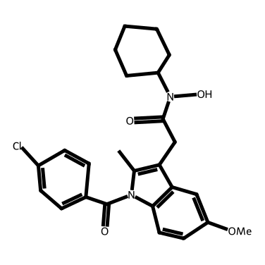 COc1ccc2c(c1)c(CC(=O)N(O)C1CCCCC1)c(C)n2C(=O)c1ccc(Cl)cc1